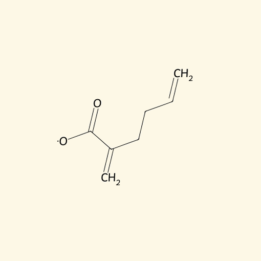 C=CCCC(=C)C([O])=O